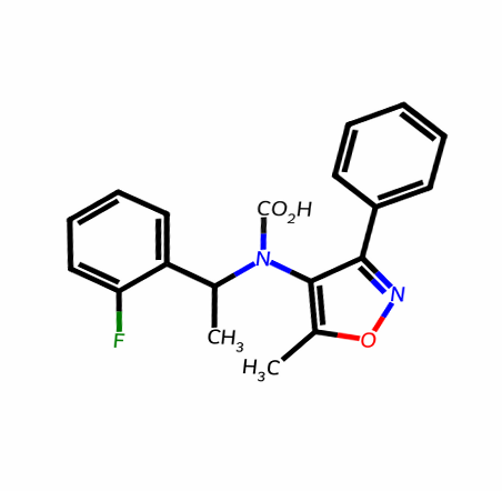 Cc1onc(-c2ccccc2)c1N(C(=O)O)C(C)c1ccccc1F